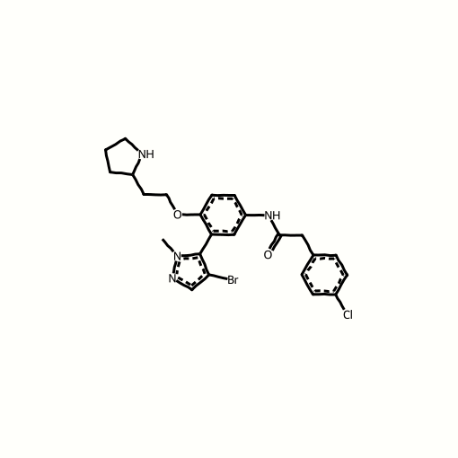 Cn1ncc(Br)c1-c1cc(NC(=O)Cc2ccc(Cl)cc2)ccc1OCCC1CCCN1